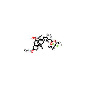 C[C@H](CCC(=O)OC(C(F)(F)F)C(F)(F)S(=O)(=O)O)[C@H]1CC[C@H]2[C@@H]3[C@H](O)CC4C[C@H](OC=O)CC[C@]4(C)[C@H]3CC[C@]12C